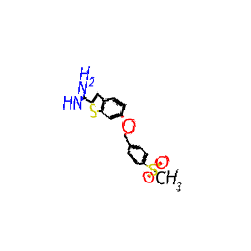 CS(=O)(=O)c1ccc(COc2ccc3cc(C(=N)N)sc3c2)cc1